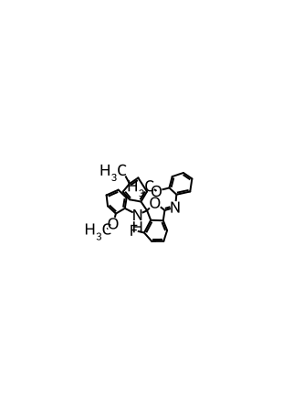 COc1ccccc1/N=C1\OC(Nc2ccccc2OC)(c2ccc(C)cc2)c2c(F)cccc21